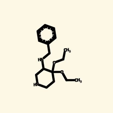 CCOC1(OCC)CCNCC1NCc1ccccc1